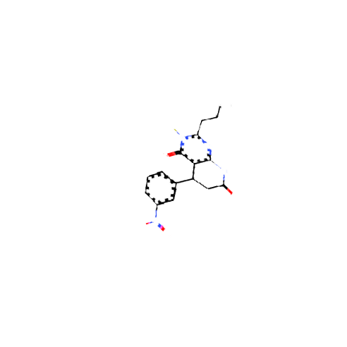 CCCc1nc2c(c(=O)n1S)C(c1cccc([N+](=O)[O-])c1)CC(=O)N2